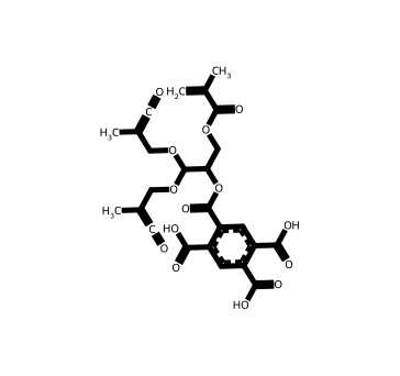 C=C(C)C(=O)OCC(OC(=O)c1cc(C(=O)O)c(C(=O)O)cc1C(=O)O)C(OCC(C)=C=O)OCC(C)=C=O